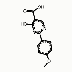 COc1ccc(-c2ncc(C(=O)O)c(O)n2)cc1